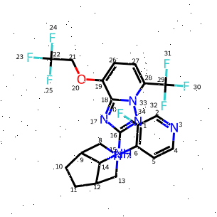 Fc1cnccc1N1CC2CCC(C1)C2Nc1nc2c(OCC(F)(F)F)ccc(C(F)(F)F)n2n1